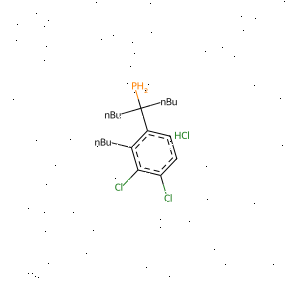 CCCCc1c(C(P)(CCCC)CCCC)ccc(Cl)c1Cl.Cl